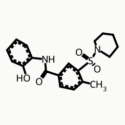 Cc1ccc(C(=O)Nc2ccccc2O)cc1S(=O)(=O)N1CCCCC1